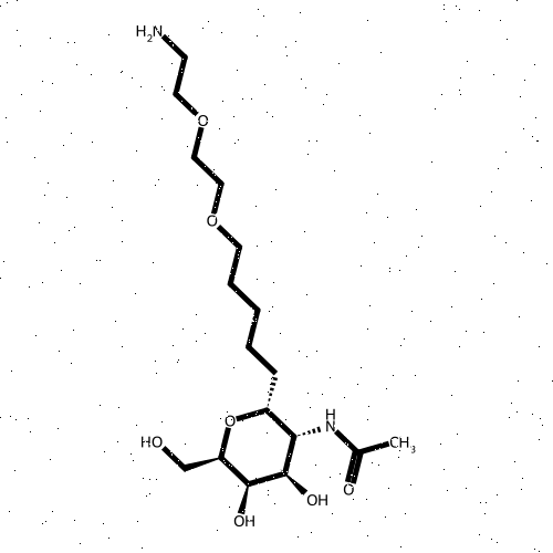 CC(=O)N[C@@H]1[C@@H](O)[C@@H](O)[C@@H](CO)O[C@@H]1CCCCCOCCOCCN